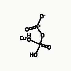 O=[N+]([O-])OP(=O)(O)O.[Cu]